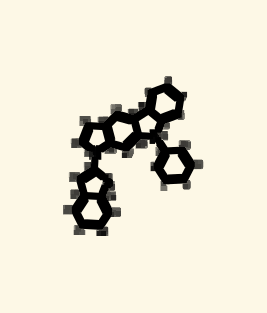 c1ccc(-n2c3ccccc3c3cc4ccn(-c5cc6ccccc6s5)c4cc32)cc1